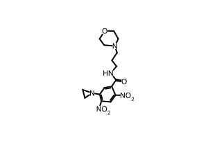 O=C(NCCCN1CCOCC1)c1cc(N2CC2)c([N+](=O)[O-])cc1[N+](=O)[O-]